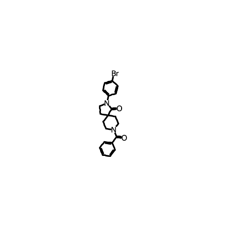 O=C(c1ccccc1)N1CCC2(CC1)CCN(c1ccc(Br)cc1)C2=O